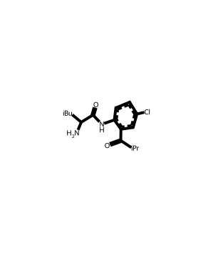 CCC(C)C(N)C(=O)Nc1ccc(Cl)cc1C(=O)C(C)C